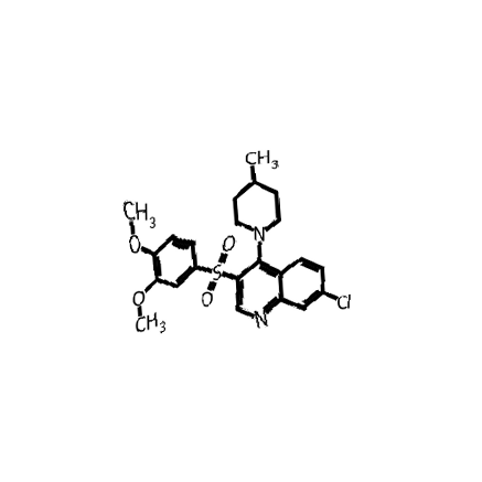 COc1ccc(S(=O)(=O)c2cnc3cc(Cl)ccc3c2N2CCC(C)CC2)cc1OC